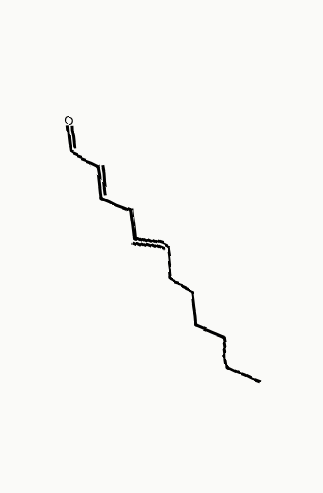 CCCCCCC=CCC=CC=O